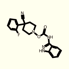 N#CC1(c2ccccc2F)CCN(OC(=O)Nc2n[nH]c3ccccc23)CC1